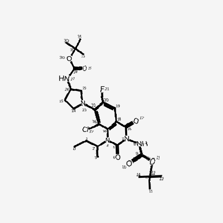 CCC(C)n1c(=O)n(NC(=O)OC(C)(C)C)c(=O)c2cc(F)c(N3CCC(NC(=O)OC(C)(C)C)C3)c(Cl)c21